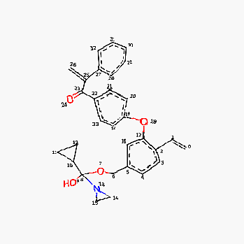 C=Cc1ccc(COC(O)(C2CC2)N2CC2)cc1Oc1ccc(C(=O)C(=C)c2ccccc2)cc1